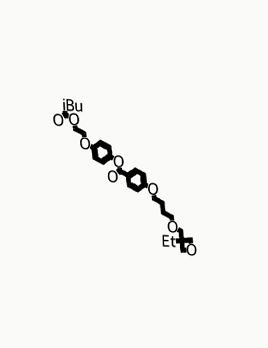 CCC(C)C(=O)OCCOc1ccc(OC(=O)c2ccc(OCCCCOCC3(CC)COC3)cc2)cc1